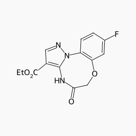 CCOC(=O)c1cnn2c1NC(=O)COc1cc(F)ccc1-2